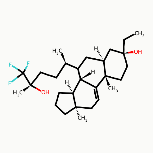 CC[C@]1(O)CC[C@]2(C)C3=CC[C@@]4(C)CCC[C@H]4[C@@H]3C([C@H](C)CC[C@](C)(O)C(F)(F)F)C[C@H]2C1